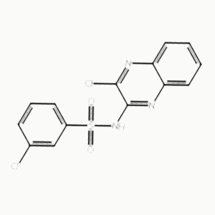 O=S(=O)(Nc1nc2ccccc2nc1Cl)c1cccc(Cl)c1